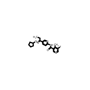 CCC(=NOC1CCCC1)c1ccc(NC(=O)c2cncc(F)c2C)nc1